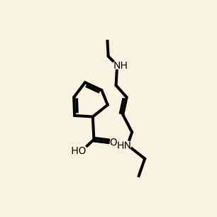 CCNC/C=C/CNCC.O=C(O)C1C=CC=CC1